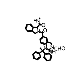 CN(C)C(=O)C1c2ccccc2CN1C(=O)c1cccc(CN(C=O)C(=N)NC(C)(c2ccccc2)c2ccccc2)c1